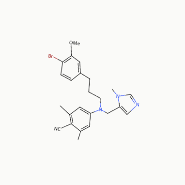 COc1cc(CCCN(Cc2cncn2C)c2cc(C)c(C#N)c(C)c2)ccc1Br